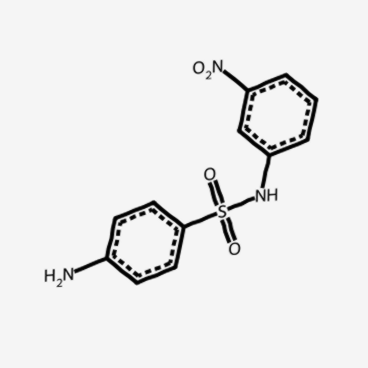 Nc1ccc(S(=O)(=O)Nc2cccc([N+](=O)[O-])c2)cc1